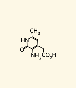 Cc1cc(CC(=O)O)c(N)c(=O)[nH]1